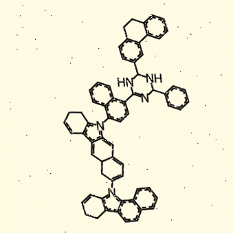 C1=Cc2c(c3ccc4ccccc4c3n2C2=CC=C3C=c4c(c5c(n4-c4ccc(C6=NC(c7ccccc7)NC(c7ccc8c(c7)-c7ccccc7CC8)N6)c6ccccc46)CCC=C5)=CC3C2)CC1